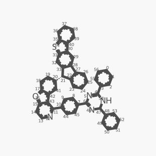 c1ccc(C2=NC(c3ccc(-c4nccc5oc6ccc([C@H]7c8ccccc8-c8cc9c(cc87)sc7ccccc79)cc6c45)cc3)=NC(c3ccccc3)N2)cc1